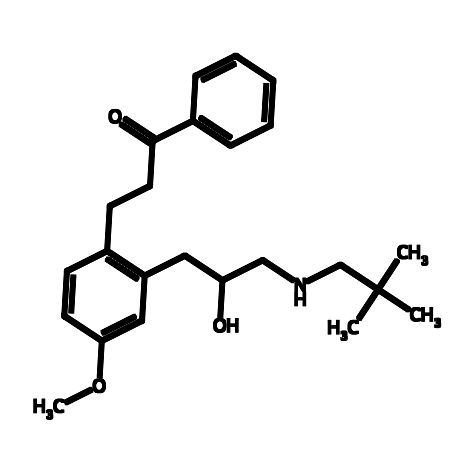 COc1ccc(CCC(=O)c2ccccc2)c(CC(O)CNCC(C)(C)C)c1